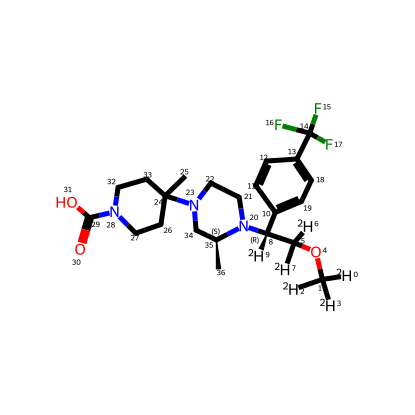 [2H]C([2H])([2H])OC([2H])([2H])[C@@]([2H])(c1ccc(C(F)(F)F)cc1)N1CCN(C2(C)CCN(C(=O)O)CC2)C[C@@H]1C